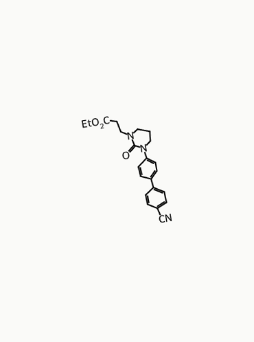 CCOC(=O)CCN1CCCN(c2ccc(-c3ccc(C#N)cc3)cc2)C1=O